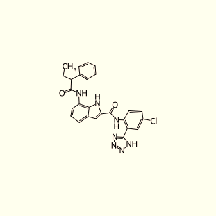 CCC(C(=O)Nc1cccc2cc(C(=O)Nc3ccc(Cl)cc3-c3nnn[nH]3)[nH]c12)c1ccccc1